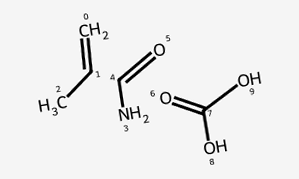 C=CC.NC=O.O=C(O)O